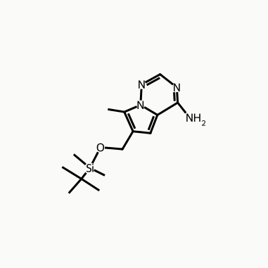 Cc1c(CO[Si](C)(C)C(C)(C)C)cc2c(N)ncnn12